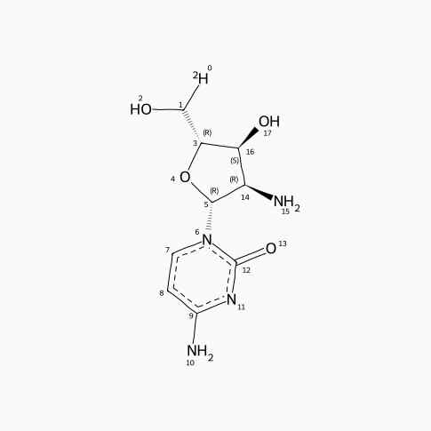 [2H]C(O)[C@H]1O[C@@H](n2ccc(N)nc2=O)[C@H](N)[C@@H]1O